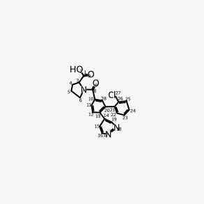 O=C(O)C1CCCN1C(=O)c1ccc(-c2ccnnc2)c(-c2ccccc2Cl)c1